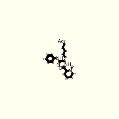 CC(=O)CCCCC[C@H](NC(=O)C1CCCCN1C)C(=O)Nc1ccccc1